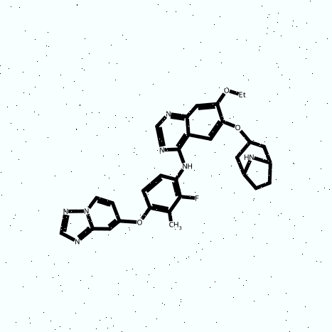 CCOc1cc2ncnc(Nc3ccc(Oc4ccn5ncnc5c4)c(C)c3F)c2cc1OC1CC2CCC(C1)N2